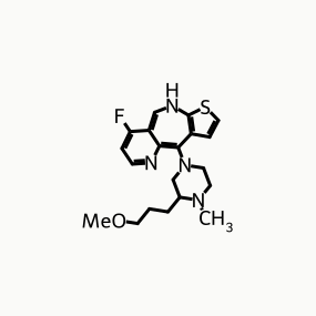 COCCCC1CN(C2=c3nccc(F)c3=CNc3sccc32)CCN1C